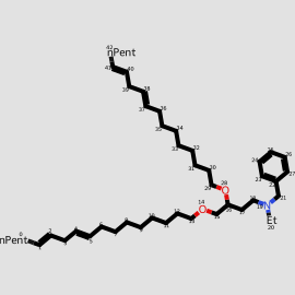 CCCCCC=CCC=CCCCCCCCCOCC(CCN(CC)Cc1ccccc1)OCCCCCCCCC=CCC=CCCCCC